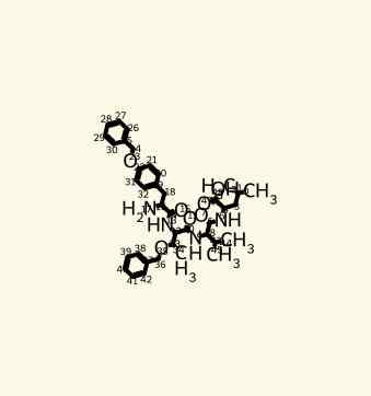 CC(C)CC(NC(=O)C(NC(=O)C(NC(=O)C(N)Cc1ccc(OCc2ccccc2)cc1)C(C)OCc1ccccc1)C(C)C)C(=O)O